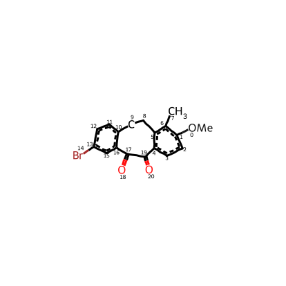 COc1ccc2c(c1C)CCc1ccc(Br)cc1C(=O)C2=O